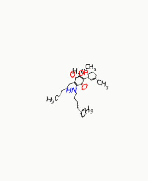 C=C(C)[C@@H]1CCC(C)=C[C@H]1C1=C(O)C(=O)C(CCCCC)=C(NCCCCC)C1=O